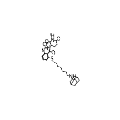 O=C1CC[C@@H](n2c(C(F)(F)F)nc3cccc(SCCCCCCCNC45CC6CC(CC(C6)C4)C5)c3c2=O)C(=O)N1